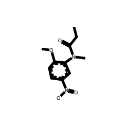 CCC(=O)N(C)c1cc([N+](=O)[O-])ccc1OC